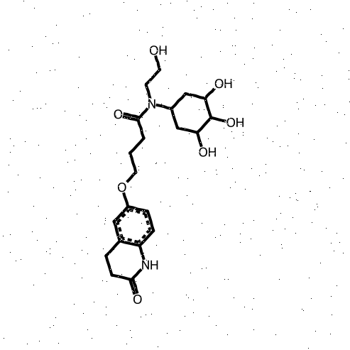 O=C1CCc2cc(OCCCC(=O)N(CCO)C3CC(O)C(O)C(O)C3)ccc2N1